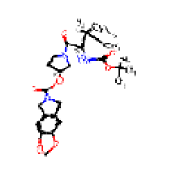 CC(C)(C)OC(=O)N[C@H](C(=O)N1CC[C@@H](OC(=O)N2Cc3cc4c(cc3C2)OCO4)C1)C(C)(C)C